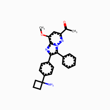 COc1cc(C(C)=O)nn2c(-c3ccccc3)c(-c3ccc(C4(N)CCC4)cc3)nc12